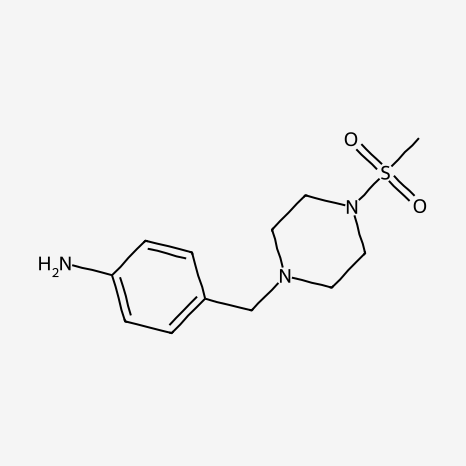 CS(=O)(=O)N1CCN(Cc2ccc(N)cc2)CC1